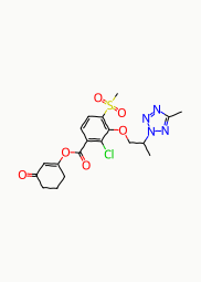 Cc1nnn(C(C)COc2c(S(C)(=O)=O)ccc(C(=O)OC3=CC(=O)CCC3)c2Cl)n1